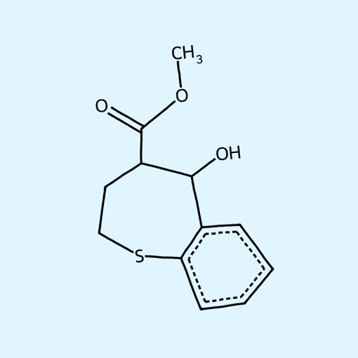 COC(=O)C1CCSc2ccccc2C1O